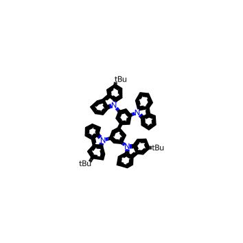 CC(C)(C)c1ccc2c(c1)c1ccccc1n2-c1cc(-c2cc(-n3c4ccccc4c4cc(C(C)(C)C)ccc43)cc(-n3c4ccccc4c4cc(C(C)(C)C)ccc43)c2)cc(-n2c3ccccc3c3ccccc32)c1